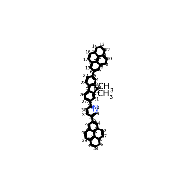 CC1(C)c2cc(-c3cc4ccc5cccc6ccc(c3)c4c56)ccc2-c2ccc(-c3ccc(-c4cc5c6c7c(ccc6c4)C=CCC7C=C5)cn3)cc21